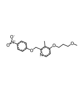 COCCCOc1ccnc(COc2ccc([N+](=O)[O-])cc2)c1C